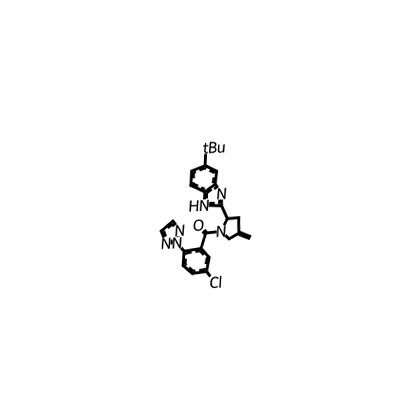 C=C1CC(c2nc3cc(C(C)(C)C)ccc3[nH]2)N(C(=O)c2cc(Cl)ccc2-n2nccn2)C1